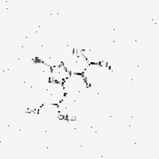 CCCCc1nc(SC(COC(C)=O)C(=O)OCC)n(C(=O)N(C)C)n1